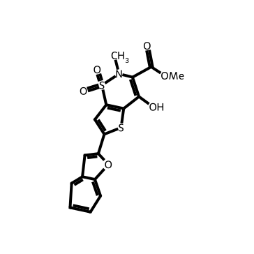 COC(=O)C1=C(O)c2sc(-c3cc4ccccc4o3)cc2S(=O)(=O)N1C